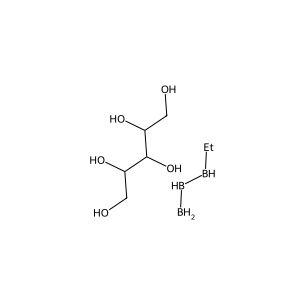 BBBCC.OCC(O)C(O)C(O)CO